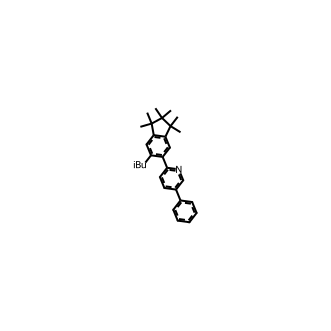 CCC(C)c1cc2c(cc1-c1ccc(-c3ccccc3)cn1)C(C)(C)C(C)(C)C2(C)C